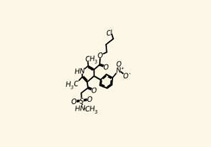 CNS(=O)(=O)CC(=O)C1=C(C)NC(C)=C(C(=O)OCCCCl)C1c1cccc([N+](=O)[O-])c1